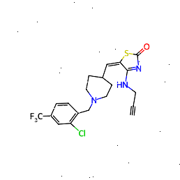 C#CCNC1=NC(=O)SC1=CC1CCN(Cc2ccc(C(F)(F)F)cc2Cl)CC1